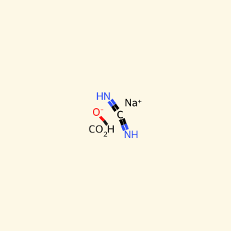 N=C=N.O=C([O-])O.[Na+]